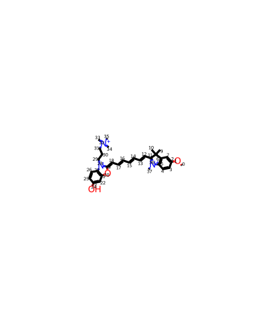 COc1ccc2c(c1)C(C)(C)C(/C=C/C=C/C=C/C=C1\Oc3cc(O)ccc3N1CCC[N+](C)(C)C)=[N+]2C